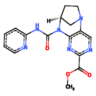 COC(=O)c1ncc2c(n1)N(C(=O)Nc1ccccn1)[C@H]1CCN2C1